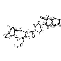 Cc1cc2c(c3cn[nH]c13)CN(CC(F)(F)F)C(=O)[C@H](CC(=O)N1CCC(c3cc4ccccc4[nH]c3=O)CC1)C2